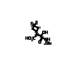 CC(C)(C)NC(=O)C(O)N(C(=O)O)C1CC(F)(F)C1